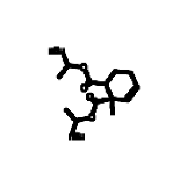 CCCCC(C)OC(=O)C1CCC=CC1(C)C(=O)OC(C)CCCC